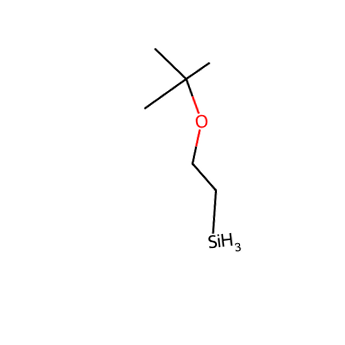 CC(C)(C)OCC[SiH3]